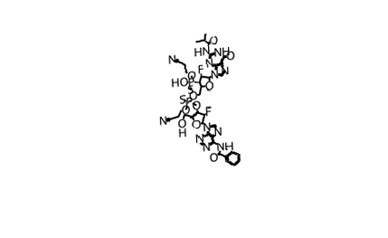 CC(C)C(=O)Nc1nc2c(ncn2C2OC(COP(=S)(OCCC#N)O[C@@H]3C(CO)OC(n4cnc5c(NC(=O)c6ccccc6)ncnc54)[C@@H]3F)[C@@H](P(O)(=S)OCCC#N)[C@H]2F)c(=O)[nH]1